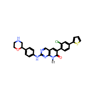 CCn1c(=O)c(-c2ccc(-c3cccs3)cc2Cl)cc2cnc(Nc3ccc(C4CNCCO4)cc3)nc21